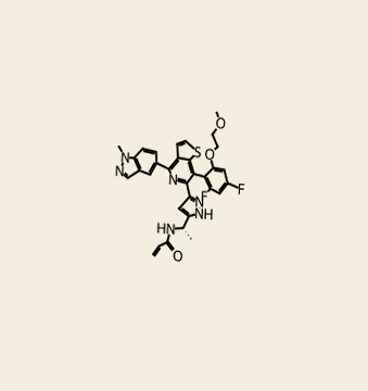 C=CC(=O)N[C@@H](C)c1cc(-c2nc(-c3ccc4c(cnn4C)c3)c3ccsc3c2-c2c(F)cc(F)cc2OCCOC)n[nH]1